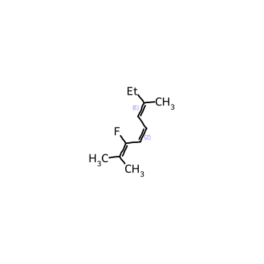 CC/C(C)=C/C=C\C(F)=C(C)C